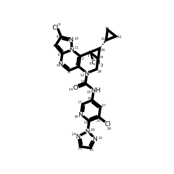 C[C@]12c3c(cnc4cc(Cl)nn34)N(C(=O)Nc3cnc(-n4nccn4)c(Cl)c3)CC1[C@H]2C1CC1